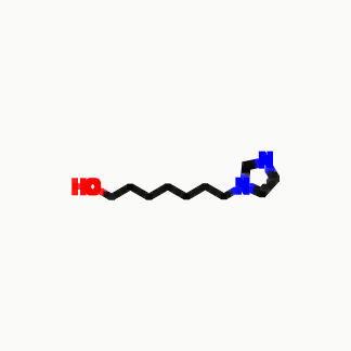 OCCCCCCCn1ccnc1